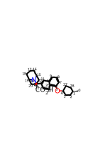 C[C@H]1CC[C@@H](Oc2cccc3cc(CN4C5CCCC4CC(C(=O)O)C5)ccc23)CC1